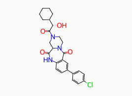 O=C1Nc2ccc(-c3ccc(Cl)cc3)cc2C(=O)N2CCN(C(=O)[C@@H](O)C3CCCCC3)CC12